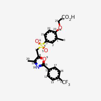 Cc1cc(S(=O)(=O)Cc2oc(-c3ccc(C(F)(F)F)cc3)nc2C)ccc1OCC(=O)O